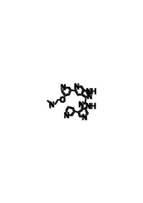 CN(C)CCOc1cncc(-c2cc3c(-c4nc5c(-c6cccnc6)cncc5[nH]4)n[nH]c3cn2)c1